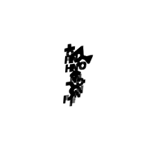 COc1nnc(C(F)F)cc1C(C)n1cc(NC(=O)[C@H]2NC(OC(C)(C)C)=C3CC3C2C2CC2)cn1